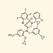 O=C(O)c1ccc(N(Cc2cc(C3CC3)cc(C3CC3)c2)C(=O)CN(Cc2ccccc2Cl)S(=O)(=O)c2c(F)c(F)cc(F)c2Br)c(OC2CC2)c1